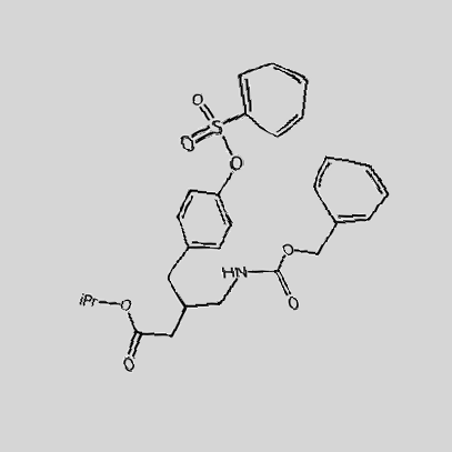 CC(C)OC(=O)CC(CNC(=O)OCc1ccccc1)Cc1ccc(OS(=O)(=O)c2ccccc2)cc1